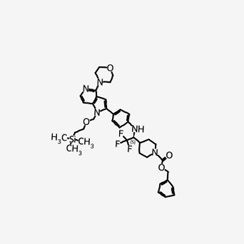 C[Si](C)(C)CCOCn1c(-c2ccc(N[C@@H](C3CCN(C(=O)OCc4ccccc4)CC3)C(F)(F)F)cc2)cc2c(N3CCOCC3)nccc21